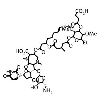 CCCCCCC=CCCCC(CC(=O)OC1CN(C)C(C(O[C@H]2C[C@H](O)[C@@H](CN)O2)[C@H]2O[C@@H](n3ccc(=O)[nH]c3=O)C[C@@H]2O)C(=O)N(C)C1C(=O)O)OC(=O)CC(C)CC(=O)OC1OC(CC)C(OC)C(OC(=O)CCC(=O)O)C1OC